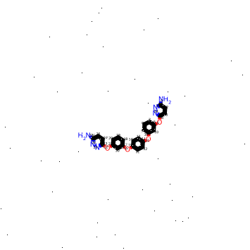 Nc1ccc(Oc2cccc(Oc3ccc(Oc4cccc(Oc5ccc(N)nn5)c4)cc3)c2)nn1